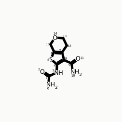 NC(=O)Nc1sc2c(c1C(N)=O)CCOC2